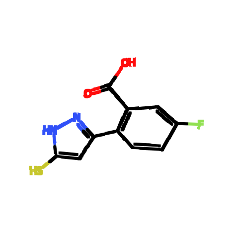 O=C(O)c1cc(F)ccc1-c1cc(S)[nH]n1